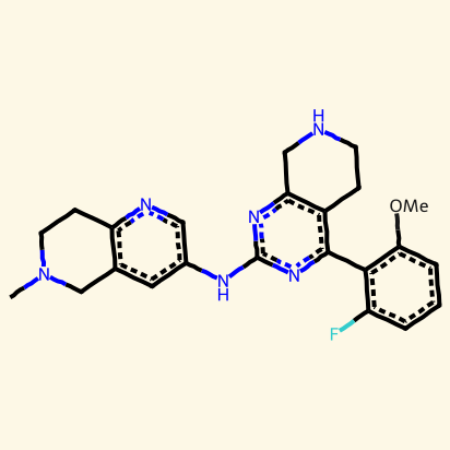 COc1cccc(F)c1-c1nc(Nc2cnc3c(c2)CN(C)CC3)nc2c1CCNC2